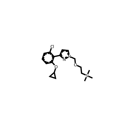 C[Si](C)(C)CCOCn1ccc(-c2c(Cl)cccc2OC2CC2)n1